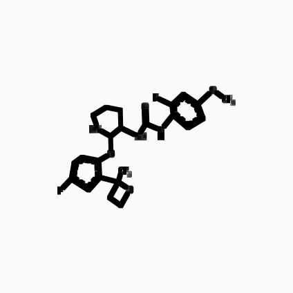 O=C(Nc1ccc(OC(F)(F)F)cc1F)NC1CCCNC1Oc1ccc(F)cc1C1(C(F)(F)F)CCO1